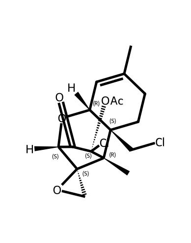 CC(=O)O[C@@]1(Cl)C(=O)[C@H]2O[C@@H]3C=C(C)CC[C@]3(CCl)[C@]1(C)[C@]21CO1